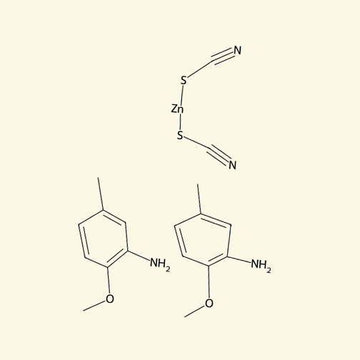 COc1ccc(C)cc1N.COc1ccc(C)cc1N.N#C[S][Zn][S]C#N